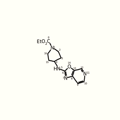 CCOC(=O)N1CCC(Nc2nc3ccncc3o2)CC1